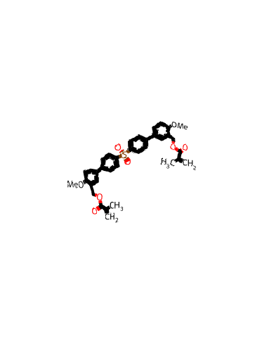 C=C(C)C(=O)OCc1cc(-c2ccc(S(=O)(=O)c3ccc(-c4ccc(OC)c(COC(=O)C(=C)C)c4)cc3)cc2)ccc1OC